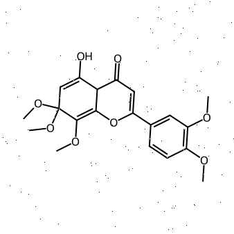 COC1=C2OC(c3ccc(OC)c(OC)c3)=CC(=O)C2C(O)=CC1(OC)OC